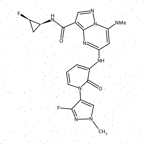 CNc1cc(Nc2cccn(-c3cn(C)nc3F)c2=O)nc2c(C(=O)N[C@H]3C[C@H]3F)cnn12